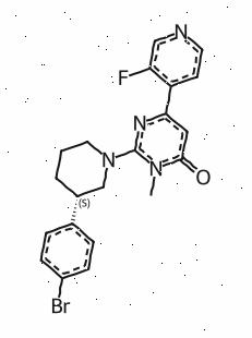 Cn1c(N2CCC[C@@H](c3ccc(Br)cc3)C2)nc(-c2ccncc2F)cc1=O